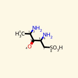 CC(N)C(=O)C(N)CS(=O)(=O)O